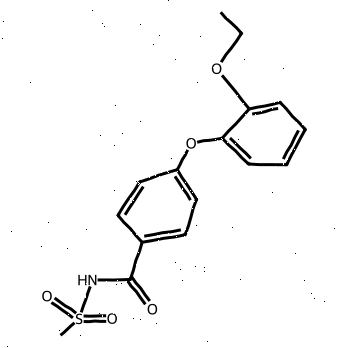 CCOc1ccccc1Oc1ccc(C(=O)NS(C)(=O)=O)cc1